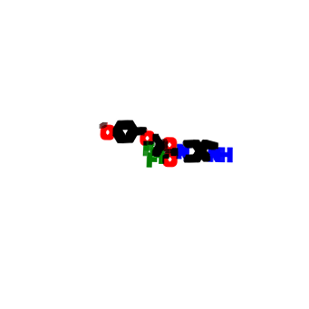 COc1ccc(COC[C@@H](OC(=O)N2CCC3(CCNC3)CC2)C(F)(F)F)cc1